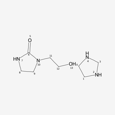 C1CNCN1.O=C1NCCN1CCO